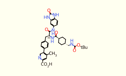 Cc1cc(C(=O)O)ncc1-c1ccc(C[C@H](NC(=O)[C@H]2CC[C@H](CNC(=O)OC(C)(C)C)CC2)C(=O)Nc2ccc3[nH]c(=O)[nH]c3c2)cc1